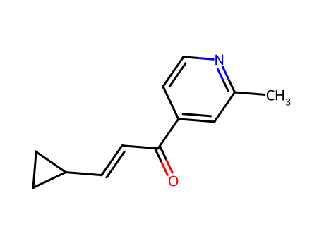 Cc1cc(C(=O)/C=C/C2CC2)ccn1